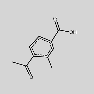 CC(=O)c1ccc(C(=O)O)cc1C